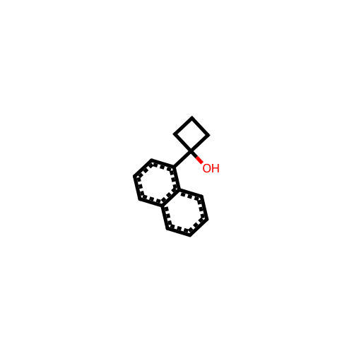 OC1(c2cccc3ccccc23)CCC1